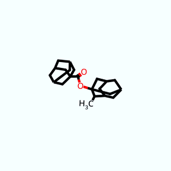 CC1C2CC3CC(C2)CC1(OC(=O)C12CC4CC(CC(C4)C1)C2)C3